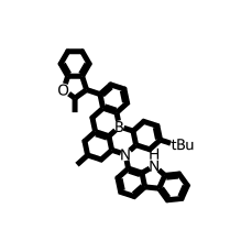 CC1CC2=C3B(c4cccc(C5C6=CCCC=C6OC5C)c4C2)C2CC=C(C(C)(C)C)CC2N(c2cccc4c2[nH]c2ccccc24)C3C1